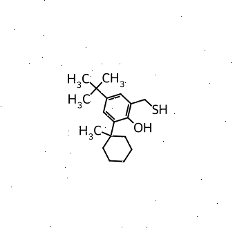 CC(C)(C)c1cc(CS)c(O)c(C2(C)CCCCC2)c1